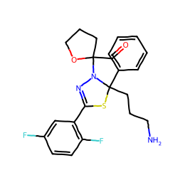 NCCCC1(c2ccccc2)SC(c2cc(F)ccc2F)=NN1C1(C=O)CCCO1